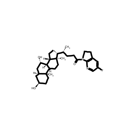 C[C@H](CCC(=O)N1CCc2cc(F)cnc21)[C@H]1CC[C@H]2[C@@H]3[C@@H](O)C[C@@H]4C[C@H](O)CC[C@]4(C)[C@H]3CC[C@]12C